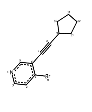 Brc1ccncc1C#CC1CCCC1